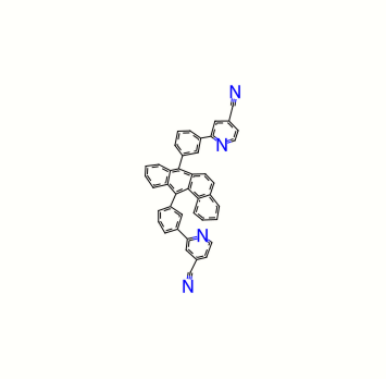 N#Cc1ccnc(-c2cccc(-c3c4ccccc4c(-c4cccc(-c5cc(C#N)ccn5)c4)c4c3ccc3ccccc34)c2)c1